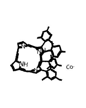 Cc1cc(C)c(C2=Cc3cc4ccc(cc5nc(cc6[nH]c(c(-c7c(C)cc(C)cc7C)c2n3)c(-c2c(C)cc(C)cc2C)c6-c2c(C)cc(C)cc2C)C=C5)[nH]4)c(C)c1.[Co]